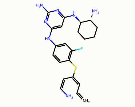 C=C/C=C(\C=C/N)Sc1ccc(Nc2cc(N[C@@H]3CCCC[C@H]3N)nc(N)n2)cc1F